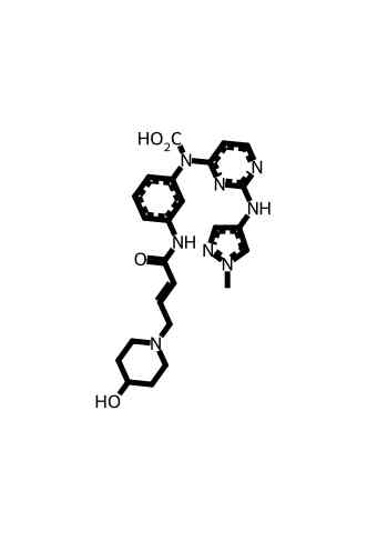 Cn1cc(Nc2nccc(N(C(=O)O)c3cccc(NC(=O)/C=C/CN4CCC(O)CC4)c3)n2)cn1